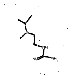 CC(C)N(C)CCNC(=N)N